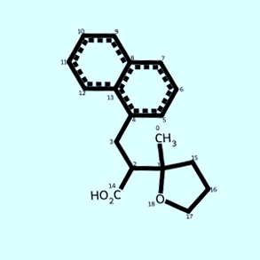 CC1(C(Cc2cccc3ccccc23)C(=O)O)CCCO1